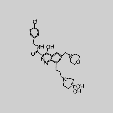 O=C(NCc1ccc(Cl)cc1)c1nnc2c(CCCN3CCS(O)(O)CC3)cc(CN3CCOCC3)cc2c1O